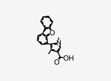 Cc1c(C(=O)O)cn(C)c1-c1cccc2c1oc1ccccc12